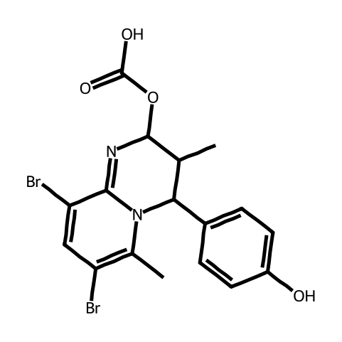 CC1=C(Br)C=C(Br)C2=NC(OC(=O)O)C(C)C(c3ccc(O)cc3)N21